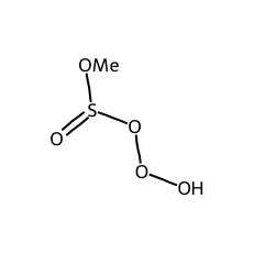 COS(=O)OOO